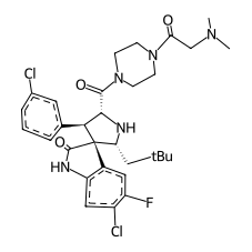 CN(C)CC(=O)N1CCN(C(=O)[C@@H]2N[C@H](CC(C)(C)C)[C@]3(C(=O)Nc4cc(Cl)c(F)cc43)[C@H]2c2cccc(Cl)c2)CC1